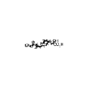 CC(C)(C)OC(=O)N1CC(Cc2cn3cc(OCC(O)C(=O)O)ccc3n2)C1